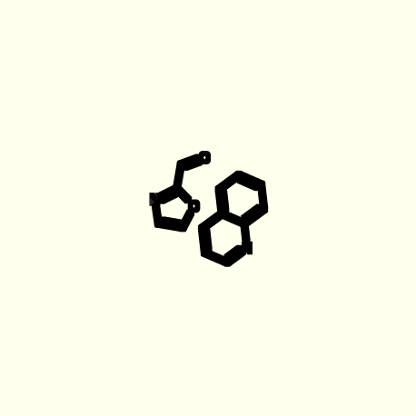 O=Cc1ncco1.c1ccc2ncccc2c1